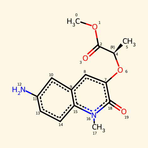 COC(=O)[C@@H](C)Oc1cc2cc(N)ccc2n(C)c1=O